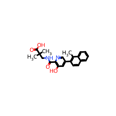 Cc1c(-c2cnc(C(=O)NCC(C)(C)C(=O)O)c(O)c2)ccc2ccccc12